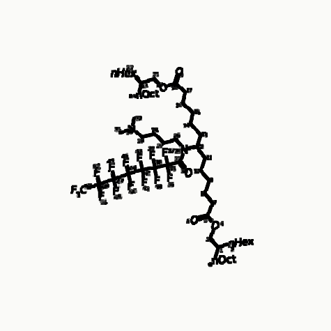 CCCCCCCCC(CCCCCC)COC(=O)CCCCCC(CCCCCC(=O)OCC(CCCCCC)CCCCCCCC)N(CCCCN(C)C)C(=O)C(F)(F)C(F)(F)C(F)(F)C(F)(F)C(F)(F)C(F)(F)C(F)(F)F